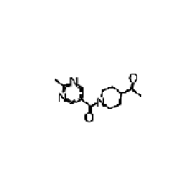 CC(=O)C1CCN(C(=O)c2cnc(C)nc2)CC1